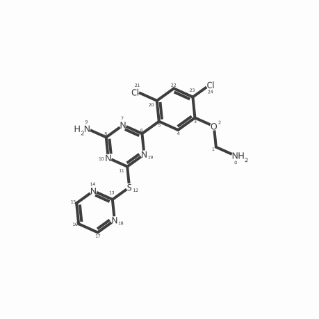 NCOc1cc(-c2nc(N)nc(Sc3ncccn3)n2)c(Cl)cc1Cl